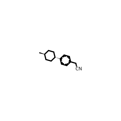 C[C@H]1CC[C@H](c2ccc(CC#N)cc2)CC1